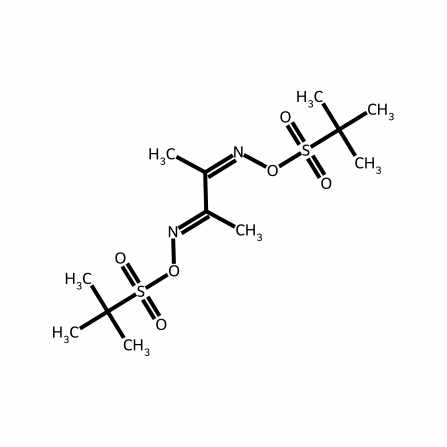 CC(=NOS(=O)(=O)C(C)(C)C)C(C)=NOS(=O)(=O)C(C)(C)C